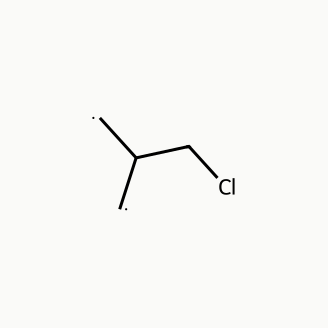 [CH2]C([CH2])CCl